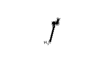 CCCCCCCCCCCCCCCCOC[C@@H]1OCCC[C@@H]1OP(=O)(O)OCCBr